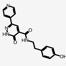 O=C(NCCc1ccc(O)cc1)c1cc(-c2ccncc2)n[nH]c1=O